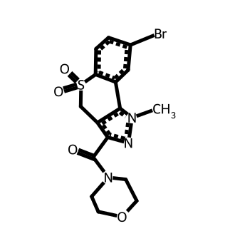 Cn1nc(C(=O)N2CCOCC2)c2c1-c1cc(Br)ccc1S(=O)(=O)C2